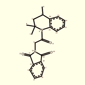 CC1CC(C)(C)N(C(=O)CN2C(=O)c3ccccc3C2=O)c2ccccc21